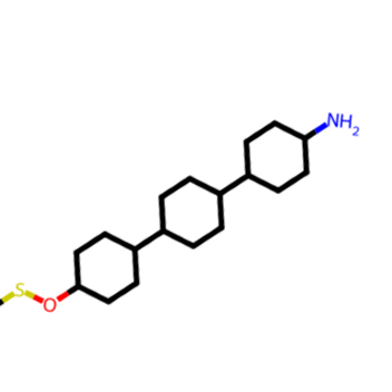 CSOC1CCC(C2CCC(C3CCC(N)CC3)CC2)CC1